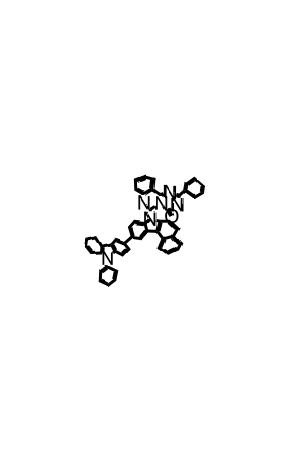 O=c1nc(-c2ccccc2)nc2c3ccccc3nc(-n3c4ccc(-c5ccc6c(c5)c5c(n6-c6ccccc6)C=CCC5)cc4c4c5ccccc5ccc43)n12